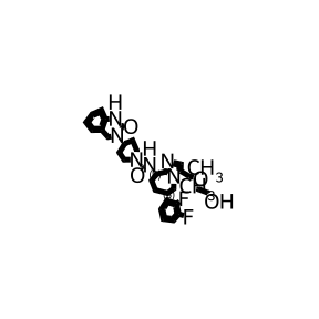 CC(C)(OCCO)c1cnc2n1C[C@H](c1cccc(F)c1F)CC[C@H]2NC(=O)N1CCC(N2Cc3ccccc3NC2=O)CC1